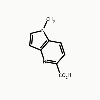 Cn1ccc2nc(C(=O)O)ccc21